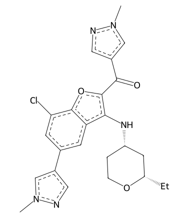 CC[C@H]1C[C@@H](Nc2c(C(=O)c3cnn(C)c3)oc3c(Cl)cc(-c4cnn(C)c4)cc23)CCO1